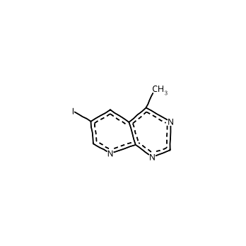 Cc1ncnc2ncc(I)cc12